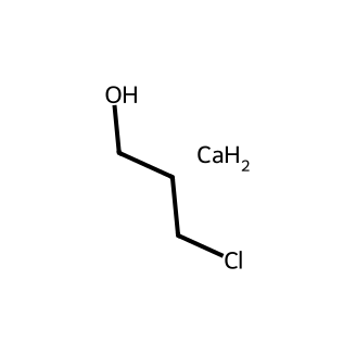 OCCCCl.[CaH2]